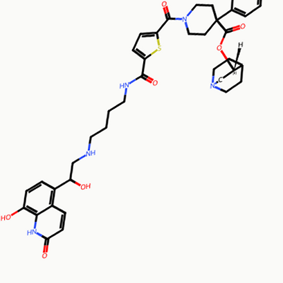 O=C(NCCCCNCC(O)c1ccc(O)c2[nH]c(=O)ccc12)c1ccc(C(=O)N2CCC(C(=O)O[C@H]3CN4CCC3CC4)(c3ccccc3)CC2)s1